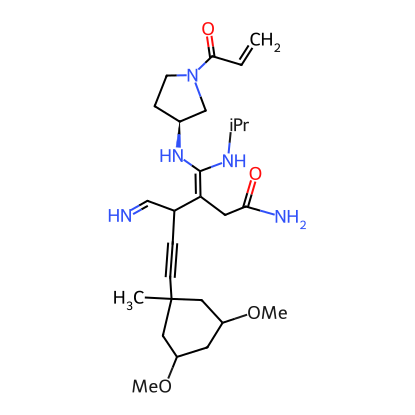 C=CC(=O)N1CC[C@H](N/C(NC(C)C)=C(/CC(N)=O)C(C#CC2(C)CC(OC)CC(OC)C2)C=N)C1